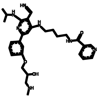 CNCC(O)COc1cccc(-c2cc(NCCCCNC(=O)c3cccnc3)c(C=N)c(NC(C)C)n2)c1